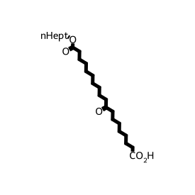 CCCCCCCOC(=O)CCCCCCCCCC(=O)CCCCCCCC(=O)O